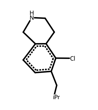 CC(C)Cc1ccc2c(c1Cl)CCNC2